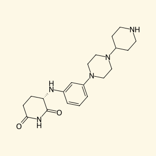 O=C1CC[C@H](Nc2cccc(N3CCN(C4CCNCC4)CC3)c2)C(=O)N1